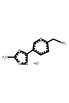 Cl.NCc1ccc(-c2noc(C(F)(F)F)n2)cn1